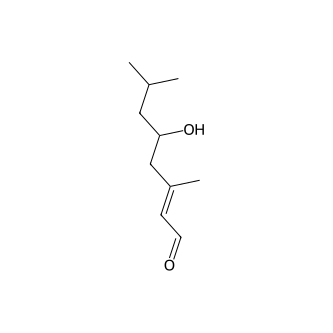 C/C(=C\C=O)CC(O)CC(C)C